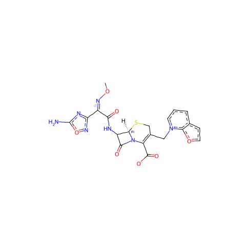 CO/N=C(\C(=O)NC1C(=O)N2C(C(=O)[O-])=C(C[n+]3cccc4ccoc43)CS[C@H]12)c1noc(N)n1